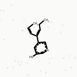 C/C=C\C(=C/CC)c1cncc(S)c1